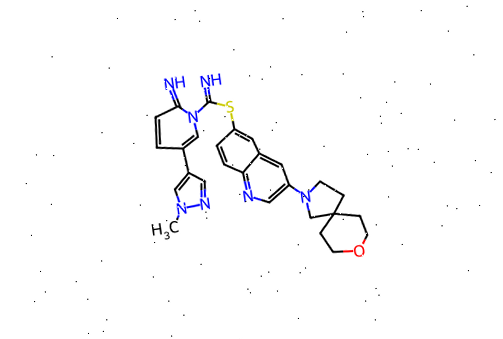 Cn1cc(-c2ccc(=N)n(C(=N)Sc3ccc4ncc(N5CCC6(CCOCC6)C5)cc4c3)c2)cn1